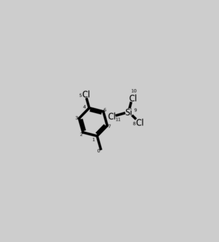 Cc1ccc(Cl)cc1.Cl[Si](Cl)Cl